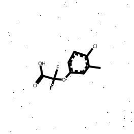 Cc1cc(OC(F)(F)C(=O)O)ccc1Cl